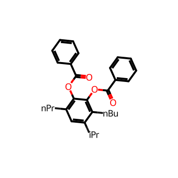 CCCCc1c(C(C)C)cc(CCC)c(OC(=O)c2ccccc2)c1OC(=O)c1ccccc1